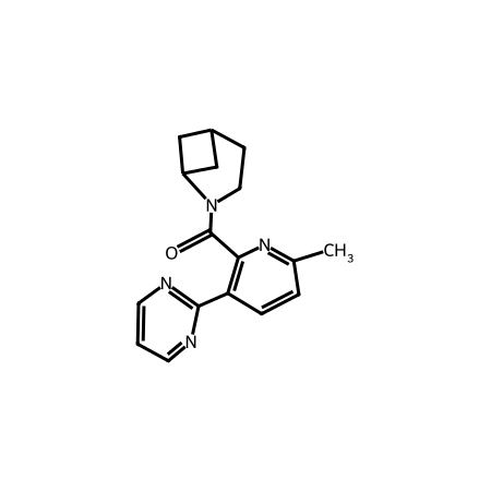 Cc1ccc(-c2ncccn2)c(C(=O)N2CCC3CC2C3)n1